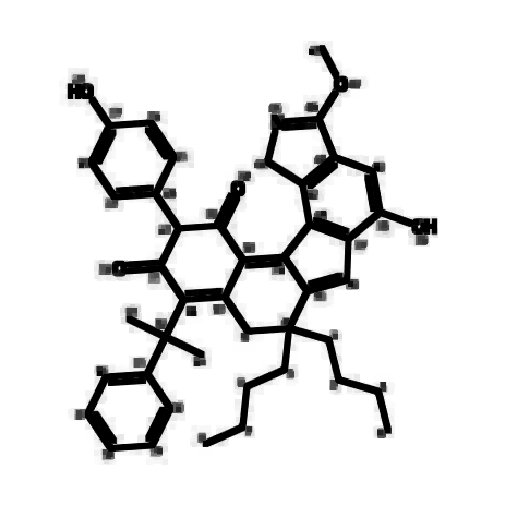 CCCCC1(CCCC)CC2=C(C(C)(C)c3ccccc3)C(=O)C(c3ccc(O)cc3)C(=O)C2=C2C1=Cc1c(O)cc3c(c12)CN=C3OC